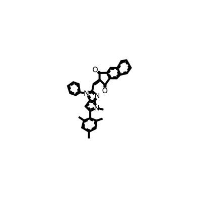 Cc1cc(C)c(-c2cc3c(nc(C=C4C(=O)c5cc6ccccc6cc5C4=O)n3-c3ccccc3)n2C)c(C)c1